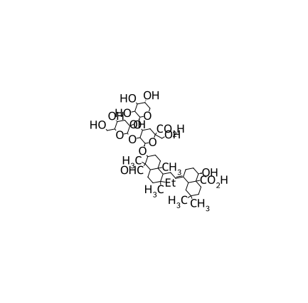 CCC1(C)CCC2C(C)(CC[C@H](O[C@@H]3OC(CO)(C(=O)O)CC(O[C@@H]4OC[C@@H](O)C(O)C4O)C3O[C@@H]3OC(CO)[C@H](O)CC3O)C2(C)C=O)C1C/C=C1\CC[C@@H](O)C2(C(=O)O)CCC(C)(C)CC12